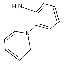 Nc1ccccc1N1C=CC=CC1